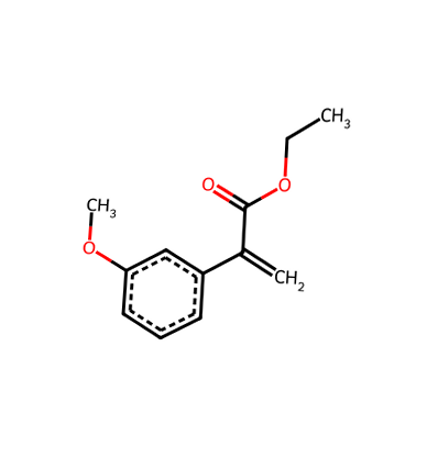 C=C(C(=O)OCC)c1cccc(OC)c1